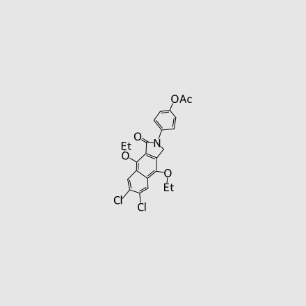 CCOc1c2c(c(OCC)c3cc(Cl)c(Cl)cc13)C(=O)N(c1ccc(OC(C)=O)cc1)C2